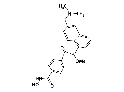 CON(C(=O)c1ccc(C(=O)NO)cc1)c1cccc2cc(CN(C)C)ccc12